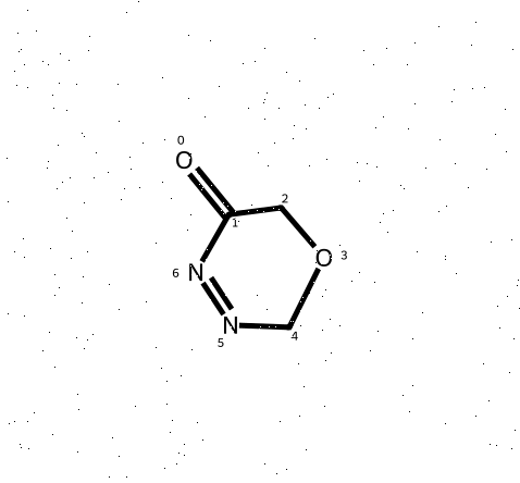 O=C1COCN=N1